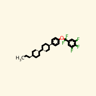 CCC[C@H]1CC[C@H]([C@H]2CC[C@H](c3ccc(OC(F)(F)c4cc(F)c(F)c(F)c4)cc3)CC2)CC1